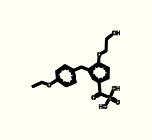 CCOc1ccc(Cc2cc(C(=O)P(=O)(O)O)ccc2OCCO)cc1